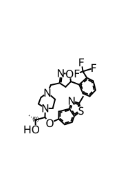 Cc1nc2cc(OC([C@@H](C)O)N3CCN(CC4=NOC(c5ccccc5C(F)(F)F)C4)CC3)ccc2s1